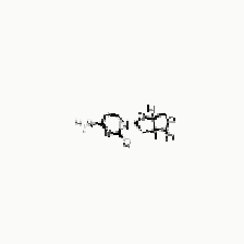 CC12C[C@H](n3ccc(N)nc3=O)O[C@@H]1COC2=O